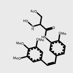 COc1ccc(/C=C\c2cc(OC)c(OC)c(OC)c2)cc1NC(=O)C(COC(C)=O)NO